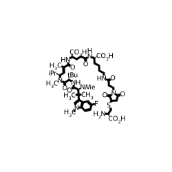 CN[C@H](C(=O)N[C@H](C(=O)N(C)[C@H](/C=C(\C)C(=O)N[C@H](CCC(=O)N[C@@H](CCCCNC(=O)CCN1C(=O)CC(SC[C@H](N)C(=O)O)C1=O)C(=O)O)C(=O)O)C(C)C)C(C)(C)C)C(C)(C)c1cn(C)c2ccc(F)cc12